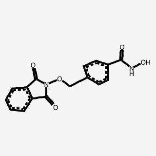 O=C(NO)c1ccc(CON2C(=O)c3ccccc3C2=O)cc1